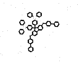 O=C(c1ccc(-c2ccccc2)cc1)c1ccc2c(c1)C(c1ccc(N(c3ccccc3)c3ccccc3)cc1)(c1ccc(N(c3ccccc3)c3ccccc3)cc1)c1cc(C(=O)c3ccc(-c4ccccc4)cc3)ccc1-2